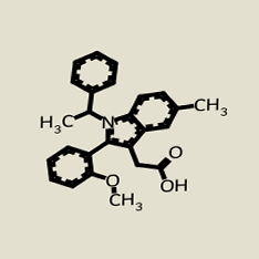 COc1ccccc1-c1c(CC(=O)O)c2cc(C)ccc2n1C(C)c1ccccc1